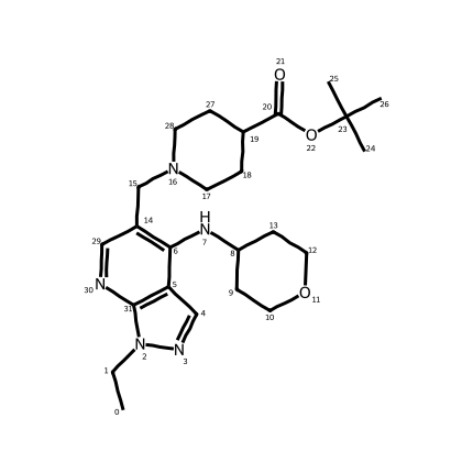 CCn1ncc2c(NC3CCOCC3)c(CN3CCC(C(=O)OC(C)(C)C)CC3)cnc21